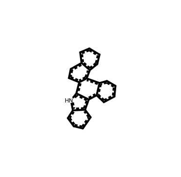 c1ccc2c(c1)ccc1c3[nH]c4ccccc4c3c3ccccc3c21